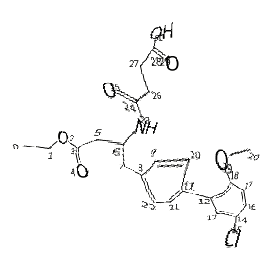 CCOC(=O)CC(Cc1ccc(-c2cc(Cl)ccc2OC)cc1)NC(=O)CCC(=O)O